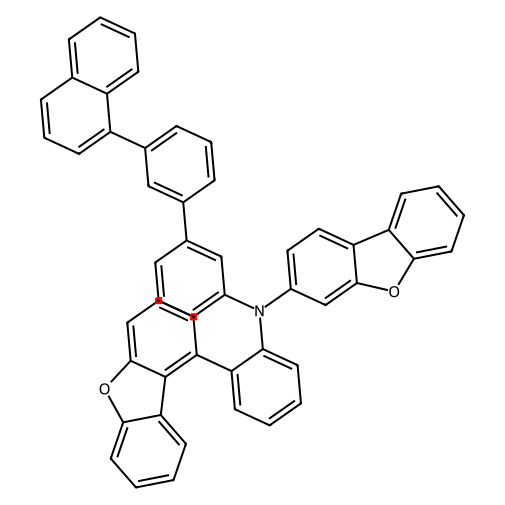 c1cc(-c2cccc(N(c3ccc4c(c3)oc3ccccc34)c3ccccc3-c3cccc4oc5ccccc5c34)c2)cc(-c2cccc3ccccc23)c1